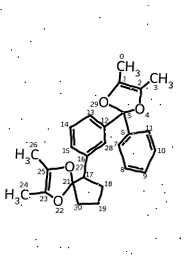 CC1=C(C)OC(c2ccccc2)(c2cccc(C3CCCC34OC(C)=C(C)O4)c2)O1